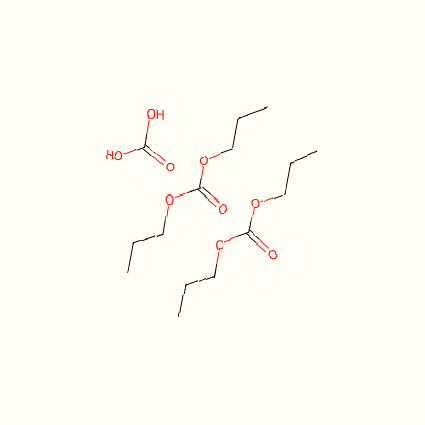 CCCOC(=O)OCCC.CCCOC(=O)OCCC.O=C(O)O